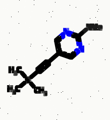 CNc1ncc(C#C[Si](C)(C)C)cn1